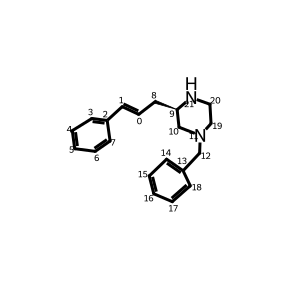 C(=Cc1ccccc1)C[C@@H]1CN(Cc2ccccc2)CCN1